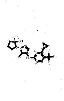 C[C@@]1(O)CCC[C@H]1n1ncc(Nc2ncc(C(F)(F)F)c(C3CC3)n2)c1Cl